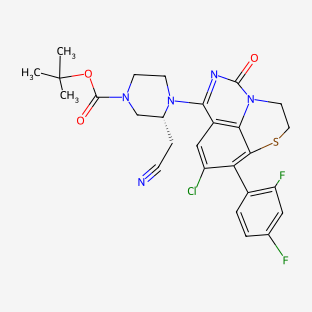 CC(C)(C)OC(=O)N1CCN(c2nc(=O)n3c4c(c(-c5ccc(F)cc5F)c(Cl)cc24)SCC3)[C@H](CC#N)C1